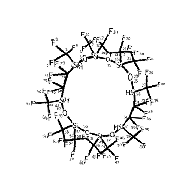 FC(F)(F)[SiH]1O[Si](C(F)(F)F)(C(F)(F)F)O[Si](C(F)(F)F)(C(F)(F)F)O[SiH](C(F)(F)F)C(F)(F)C(F)(F)[SiH](C(F)(F)F)O[Si](C(F)(F)F)(C(F)(F)F)O[Si](C(F)(F)F)(C(F)(F)F)O[SiH](C(F)(F)F)C(F)(F)C1(F)F